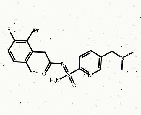 CC(C)c1ccc(F)c(C(C)C)c1CC(=O)N=S(N)(=O)c1ccc(CN(C)C)cn1